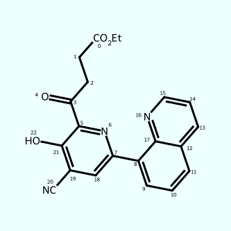 CCOC(=O)CCC(=O)c1nc(-c2cccc3cccnc23)cc(C#N)c1O